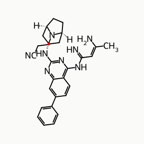 C/C(N)=C/C(=N)Nc1nc(N[C@@H]2C[C@H]3CC[C@@H](C2)N3CCC#N)nc2cc(-c3ccccc3)ccc12